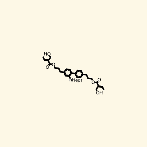 C/C=C(\CO)C(=O)OCCCc1ccc(-c2ccc(CCCOC(=O)/C(=C/C)CO)cc2CCCCCCC)cc1